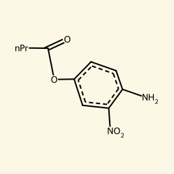 CCCC(=O)Oc1ccc(N)c([N+](=O)[O-])c1